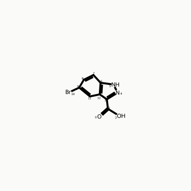 O=C(O)c1n[nH]c2ccc(Br)cc12